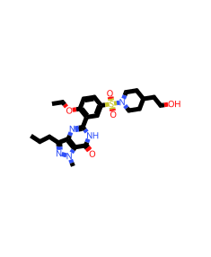 CCCc1nn(C)c2c(=O)[nH]c(-c3cc(S(=O)(=O)N4CCC(CCO)CC4)ccc3OCC)nc12